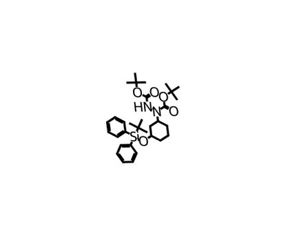 CC(C)(C)OC(=O)NN(C(=O)OC(C)(C)C)C1CCCC(O[Si](c2ccccc2)(c2ccccc2)C(C)(C)C)C1